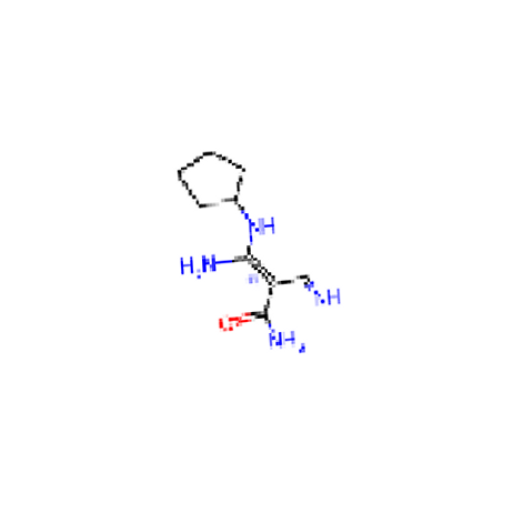 N=C/C(C(N)=O)=C(/N)NC1CCCC1